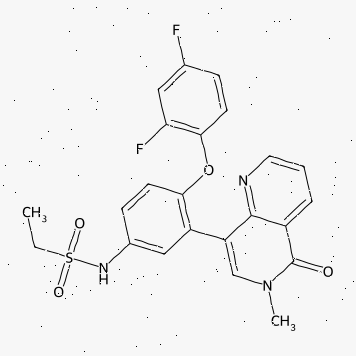 CCS(=O)(=O)Nc1ccc(Oc2ccc(F)cc2F)c(-c2cn(C)c(=O)c3cccnc23)c1